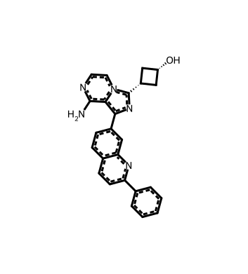 Nc1nccn2c1c(-c1ccc3ccc(-c4ccccc4)nc3c1)nc2[C@H]1C[C@@H](O)C1